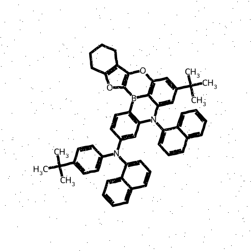 CC(C)(C)c1ccc(N(c2ccc3c(c2)N(c2cccc4ccccc24)c2cc(C(C)(C)C)cc4c2B3c2oc3c(c2O4)CCCC3)c2cccc3ccccc23)cc1